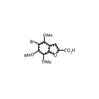 COc1c(Br)c(OC)c2cc(C(=O)O)oc2c1OC